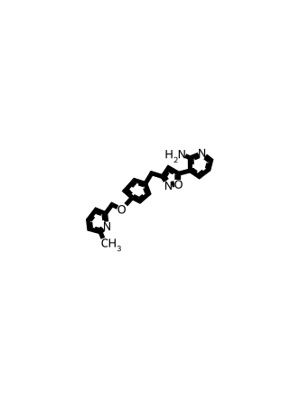 Cc1cccc(COc2ccc(Cc3cc(-c4cccnc4N)on3)cc2)n1